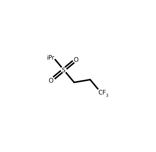 CC(C)S(=O)(=O)CCC(F)(F)F